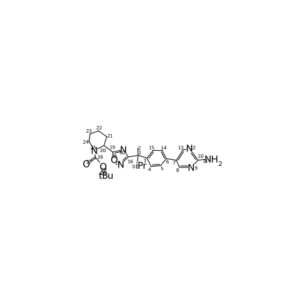 CC(C)C(C)(c1ccc(-c2cnc(N)nc2)cc1)c1noc(C2CCCCN2C(=O)OC(C)(C)C)n1